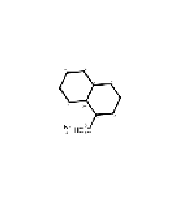 O=C(O)C1CCCC2CCCCC21.[Nd]